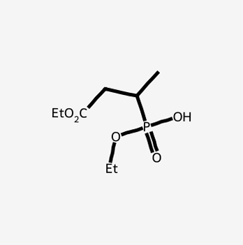 CCOC(=O)CC(C)P(=O)(O)OCC